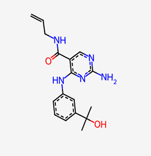 C=CCNC(=O)c1cnc(N)nc1Nc1cccc(C(C)(C)O)c1